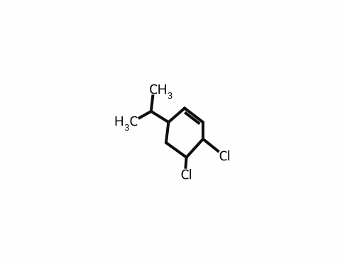 CC(C)C1C=CC(Cl)C(Cl)C1